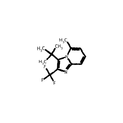 Cc1cccc2nc(C(F)(F)F)c(C(C)(C)C)n12